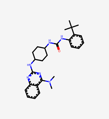 CN(C)c1nc(NC2CCC(NC(=O)Nc3ccccc3C(C)(C)C)CC2)nc2ccccc12